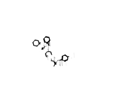 Cc1[nH]c(-c2ccc(C(F)(F)F)cc2)nc1CN1CCC(N(Cc2ccccc2)C(=O)NC2CCCCC2)CC1